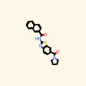 O=C(Nc1nc2ccc(C(=O)N3CCCC3)cc2s1)c1ccc2ccccc2c1